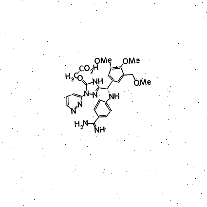 CC(=O)O.COCc1cc([C@H](Nc2ccc(C(=N)N)cc2)c2nn(-c3cccnn3)c(=O)[nH]2)cc(OC)c1OC